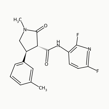 Cc1cccc([C@H]2CN(C)C(=O)[C@@H]2C(=O)Nc2ccc(F)nc2F)c1